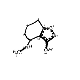 CNC1CCCc2onc(O)c21